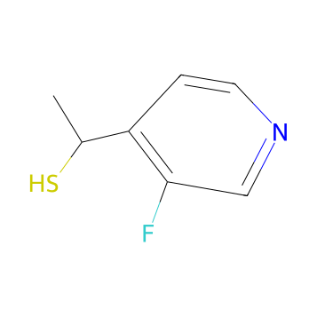 CC(S)c1ccncc1F